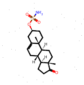 C[C@]12CC[C@H](OS(N)(=O)=O)CC1=CC[C@@H]1[C@@H]2CC[C@]2(C)C(=O)CC[C@@H]12